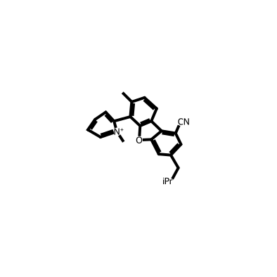 Cc1ccc2c(oc3cc(CC(C)C)cc(C#N)c32)c1-c1cccc[n+]1C